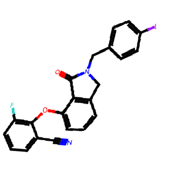 N#Cc1cccc(F)c1Oc1cccc2c1C(=O)N(Cc1ccc(I)cc1)C2